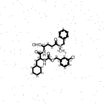 CN(Cc1ccccc1)C(=O)CCC(C=O)NC(=O)C(CC1CCCCC1)NC(=O)OCc1cccc(Cl)c1